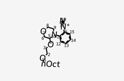 CCCCCCCCOCCOC1COCCN1c1ccccc1[N+]#N